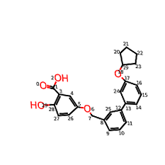 O=C(O)c1cc(OCc2cccc(-c3cccc(OC4CCCC4)c3)c2)ccc1O